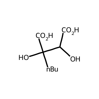 CCCCC(O)(C(=O)O)C(O)C(=O)O